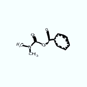 CN(C)C(=O)OC(=O)c1ccccc1